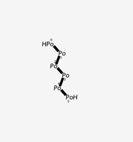 [PoH][Po][Po][Po][Po][PoH]